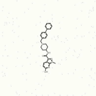 Cn1nc(C(=O)NC2CCN(Cc3ccc(-c4ccccc4)cc3)CC2)c2ccc(O)nc21